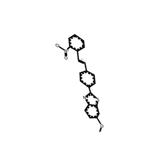 COc1ccc2nc(-c3ccc(/C=C/c4ccccc4[N+](=O)[O-])cc3)sc2c1